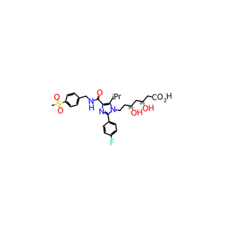 CC(C)c1c(C(=O)NCc2ccc(S(C)(=O)=O)cc2)nc(-c2ccc(F)cc2)n1CC[C@@H](O)C[C@@H](O)CC(=O)O